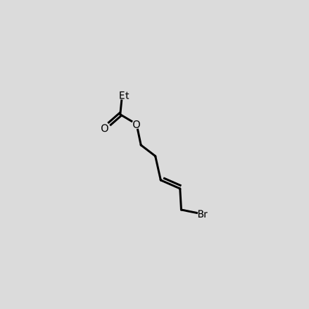 CCC(=O)OCCC=CCBr